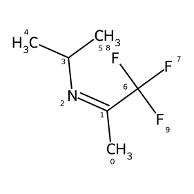 CC(=NC(C)C)C(F)(F)F